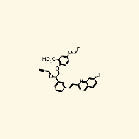 C#CCO[C@@H](COc1ccc(OCF)cc1C(=O)O)c1cccc(/C=C/c2ccc3ccc(Cl)cc3n2)c1